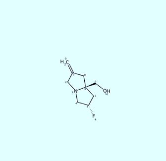 C=C1CN2C[C@@H](F)C[C@@]2(CO)C1